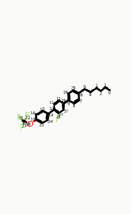 CCCCCCc1ccc(-c2ccc(-c3ccc(OC(F)(F)F)cc3)c(F)c2)cc1